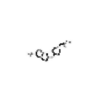 CNCN1CCC(OC2CCN(CC(C)C)CC2)CC1